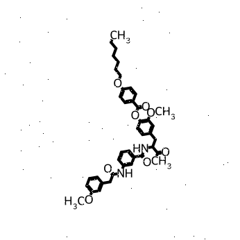 CCCCCCCOc1ccc(C(=O)Oc2ccc(CC(NC(=O)c3cccc(NC(=O)Cc4cccc(OC)c4)c3)C(C)=O)cc2OC)cc1